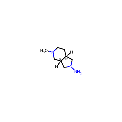 CN1CC[C@@H]2CN(N)C[C@@H]2C1